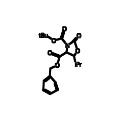 CC(C)C1OC(=O)N(C(=O)OC(C)(C)C)C1C(=O)OCc1ccccc1